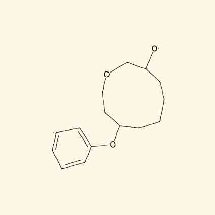 [O]C1CCCCC(Oc2c[c]ccc2)CCOC1